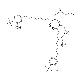 CCCC1SC1CC1SC(CC2SC2CC2CS2)C(CCCCCCCc2ccc(C(C)(C)C)c(O)c2)SSC1CCCCCCCc1ccc(C(C)(C)C)c(O)c1